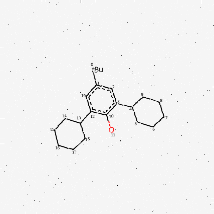 CC(C)(C)c1cc(C2CCCCC2)c([O])c(C2CCCCC2)c1